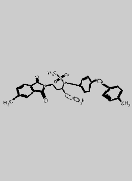 Cc1ccc(Oc2ccc(N(C(CCN3C(=O)c4ccc(C)cc4C3=O)C(=O)O)S(C)(=O)=O)cc2)cc1